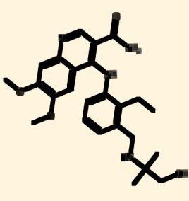 CCc1c(CNC(C)(C)CO)cccc1Nc1c(C(N)=O)cnc2cc(OC)c(OC)cc12